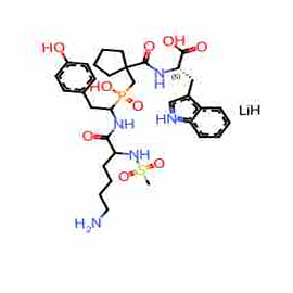 CS(=O)(=O)NC(CCCCN)C(=O)NC(Cc1ccc(O)cc1)P(=O)(O)CC1(C(=O)N[C@@H](Cc2c[nH]c3ccccc23)C(=O)O)CCCC1.[LiH]